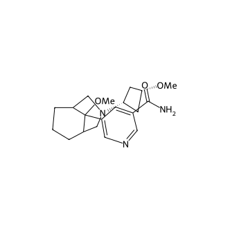 COC1(c2cncc(C(N)=O)c2)C2CCCC1CN([C@H]1C[C@@H](OC)C1)C2